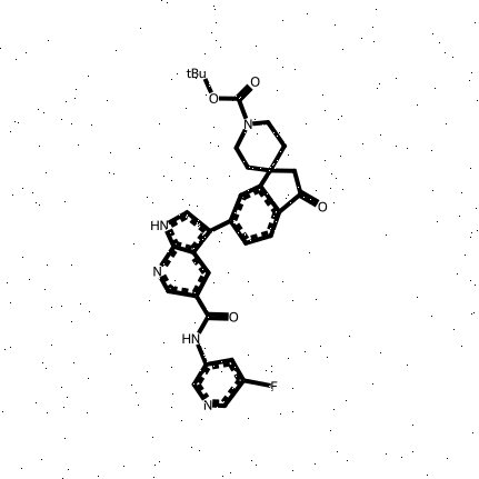 CC(C)(C)OC(=O)N1CCC2(CC1)CC(=O)c1ccc(-c3c[nH]c4ncc(C(=O)Nc5cncc(F)c5)cc34)cc12